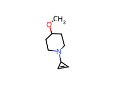 COC1CCN(C2C=C2)CC1